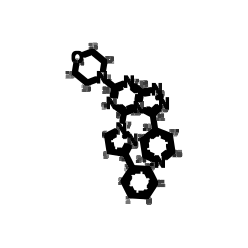 c1ccc(-c2ccn(-c3nc(N4CCOCC4)nc4nnc(-c5ccncc5)n34)n2)cc1